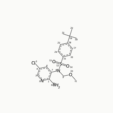 Bc1ncc(Cl)cc1N(COC)S(=O)(=O)c1ccc(C(C)(C)C)cc1